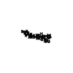 CC(C)c1ccccc1N1C(=O)CSC1=NC(=O)Nc1ccc(CCc2ncn(-c3ccc(Br)cc3)n2)cc1